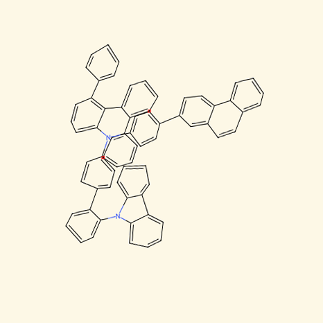 c1ccc(-c2ccccc2-c2c(-c3ccccc3)cccc2N(c2ccc(-c3ccc4c(ccc5ccccc54)c3)cc2)c2ccc(-c3ccccc3-n3c4ccccc4c4ccccc43)cc2)cc1